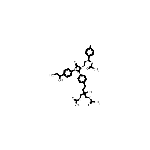 CC(=O)OCC(O)(CCc1ccc([C@@H]2[C@@H](CC[C@H](OC(C)=O)c3ccc(F)cc3)C(=O)N2c2ccc(C(O)CO)cc2)cc1)COC(C)=O